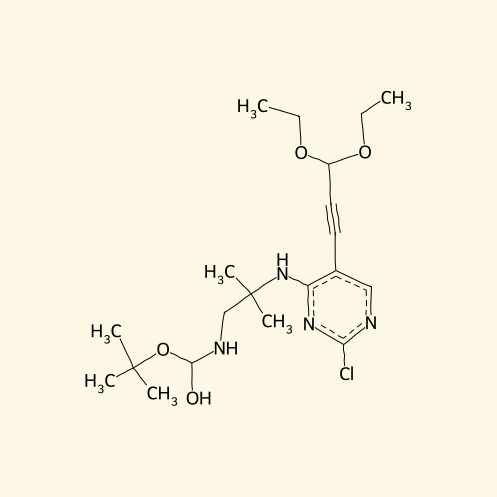 CCOC(C#Cc1cnc(Cl)nc1NC(C)(C)CNC(O)OC(C)(C)C)OCC